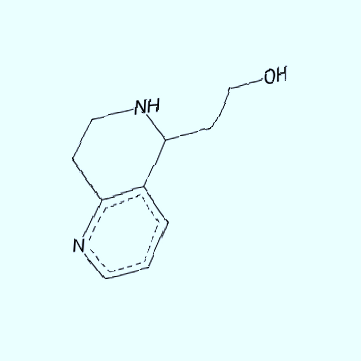 OCCC1NCCc2ncccc21